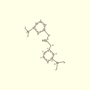 CN(C)c1cccc(C[SiH]Cc2cccc(N(C)C)c2)c1